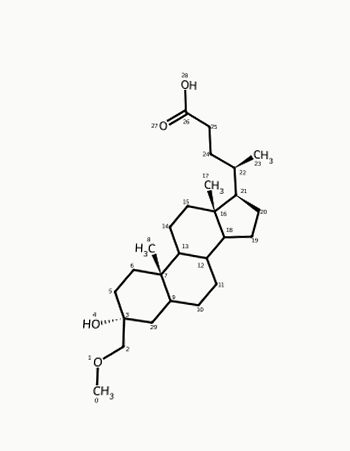 COC[C@@]1(O)CC[C@@]2(C)C(CCC3C2CC[C@@]2(C)C3CC[C@@H]2[C@H](C)CCC(=O)O)C1